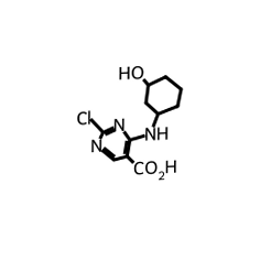 O=C(O)c1cnc(Cl)nc1NC1CCCC(O)C1